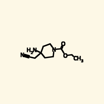 CCOC(=O)N1CCC(N)(CC#N)CC1